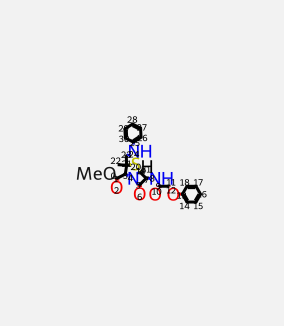 COC(=O)C1N2C(=O)C(NC(=O)COc3ccccc3)[C@@H]2SC1(C)CNc1ccccc1